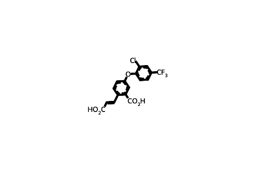 O=C(O)/C=C/c1ccc(Oc2ccc(C(F)(F)F)cc2Cl)cc1C(=O)O